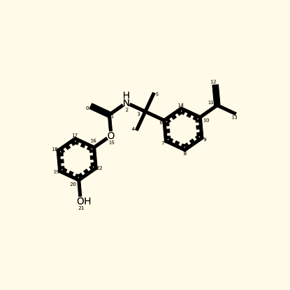 C=C(NC(C)(C)c1cccc(C(=C)C)c1)Oc1cccc(O)c1